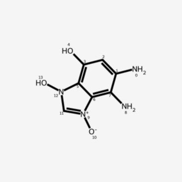 Nc1cc(O)c2c(c1N)[n+]([O-])cn2O